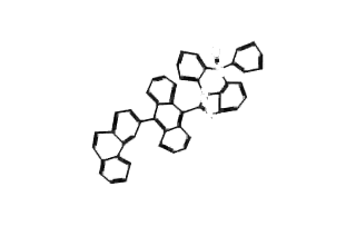 O=P1(c2ccccc2)c2ccccc2-n2c(-c3c4ccccc4c(-c4ccc5ccc6ccccc6c5c4)c4ccccc34)nc3cccc1c32